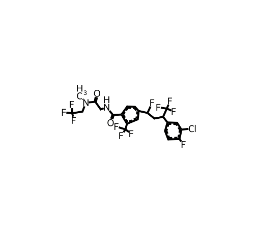 CN(CC(F)(F)F)C(=O)CNC(=O)c1ccc(C(F)CC(c2ccc(F)c(Cl)c2)C(F)(F)F)cc1C(F)(F)F